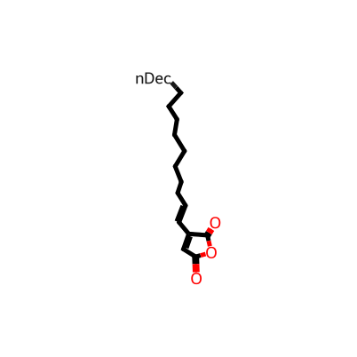 CCCCCCCCCCCCCCCCCC/C=C/C1=CC(=O)OC1=O